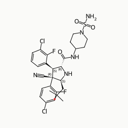 CC(C)(C)C[C@@H]1N[C@@H](C(=O)NC2CCN(S(N)(=O)=O)CC2)[C@H](c2cccc(Cl)c2F)[C@@]1(C#N)c1ccc(Cl)cc1F